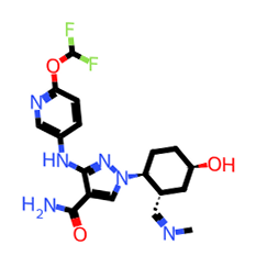 C/N=C\[C@H]1C[C@H](O)CC[C@@H]1n1cc(C(N)=O)c(Nc2ccc(OC(F)F)nc2)n1